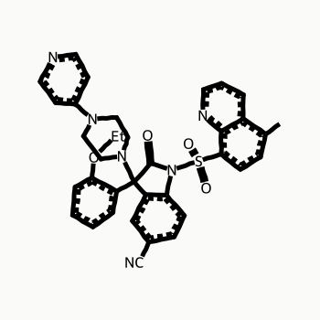 CCOc1ccccc1C1(N2CCN(c3ccncc3)CC2)C(=O)N(S(=O)(=O)c2ccc(C)c3cccnc23)c2ccc(C#N)cc21